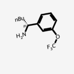 CCCC[C@@H](N)c1cccc(OC(F)(F)F)c1